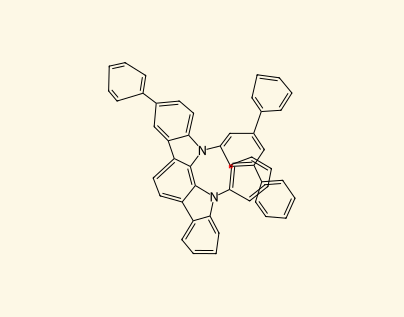 c1ccc(-c2cc(-c3ccccc3)cc(-n3c4ccc(-c5ccccc5)cc4c4ccc5c6ccccc6n(-c6ccccc6)c5c43)c2)cc1